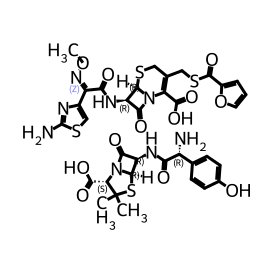 CC1(C)S[C@@H]2[C@H](NC(=O)[C@H](N)c3ccc(O)cc3)C(=O)N2[C@H]1C(=O)O.CO/N=C(\C(=O)N[C@@H]1C(=O)N2C(C(=O)O)=C(CSC(=O)c3ccco3)CS[C@H]12)c1csc(N)n1